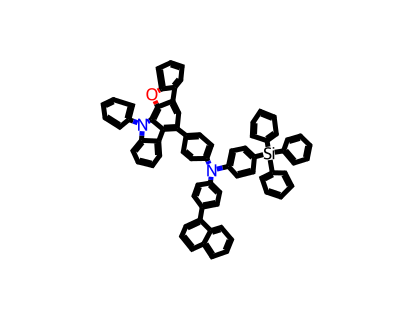 c1ccc(-n2c3ccccc3c3c(-c4ccc(N(c5ccc(-c6cccc7ccccc67)cc5)c5ccc([Si](c6ccccc6)(c6ccccc6)c6ccccc6)cc5)cc4)cc4c5ccccc5oc4c32)cc1